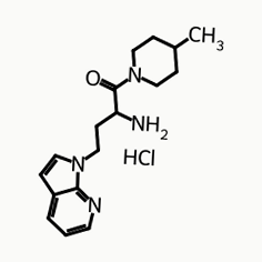 CC1CCN(C(=O)C(N)CCn2ccc3cccnc32)CC1.Cl